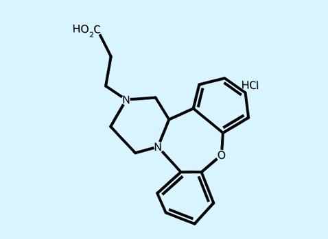 Cl.O=C(O)CCN1CCN2c3ccccc3Oc3ccccc3C2C1